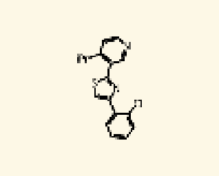 CC(C)c1ccncc1-c1nc(-c2ccccc2Cl)cs1